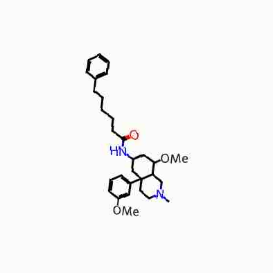 COc1cccc(C23CCN(C)CC2C(OC)CC(NC(=O)CCCCCc2ccccc2)C3)c1